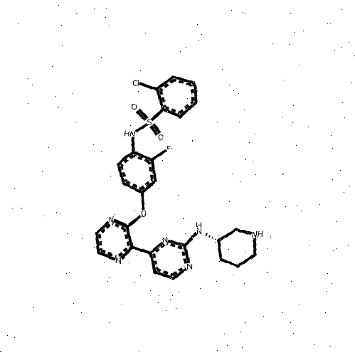 O=S(=O)(Nc1ccc(Oc2nccnc2-c2ccnc(N[C@H]3CCCNC3)n2)cc1F)c1ccccc1Cl